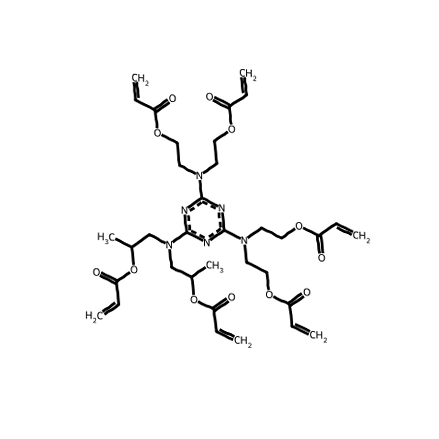 C=CC(=O)OCCN(CCOC(=O)C=C)c1nc(N(CCOC(=O)C=C)CCOC(=O)C=C)nc(N(CC(C)OC(=O)C=C)CC(C)OC(=O)C=C)n1